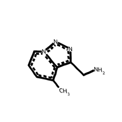 Cc1cccn2nnc(CN)c12